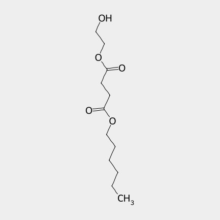 CCCCCCOC(=O)CCC(=O)OCCO